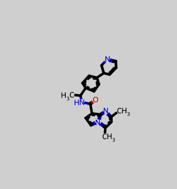 Cc1cc(C)n2ccc(C(=O)NC(C)c3ccc(C4C=CC=NC4)cc3)c2n1